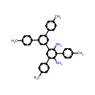 Cc1ccc(-c2cc(-c3ccc(C)cc3)cc(-c3cc(-c4ccc(C)cc4)c(N)c(-c4ccc(C)cc4)c3N)c2)cc1